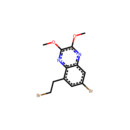 COc1nc2cc(Br)cc(CCBr)c2nc1OC